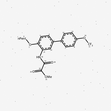 CCCCCOc1ccc(-c2ccc(OC(F)(F)F)cc2)cc1NC(=O)C(=O)OC